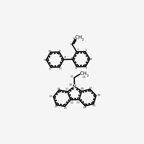 C=Cc1ccccc1-c1ccccc1.CCn1c2ccccc2c2ccccc21